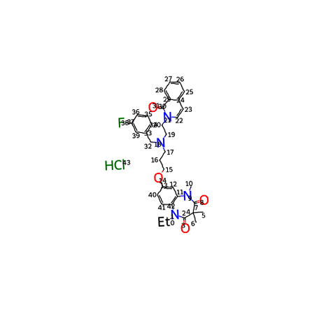 CCN1C(=O)C(C)(C)C(=O)N(C)c2cc(OCCCN(CCn3ccc4ccccc4c3=O)Cc3cccc(F)c3)ccc21.Cl